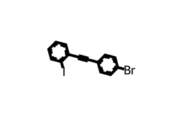 Brc1ccc(C#Cc2ccccc2I)cc1